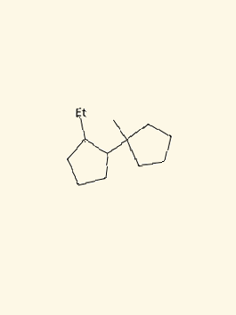 CC[C]1CCCC1C1(C)CCCC1